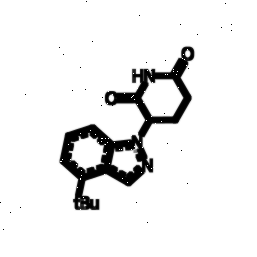 CC(C)(C)c1cccc2c1cnn2C1CCC(=O)NC1=O